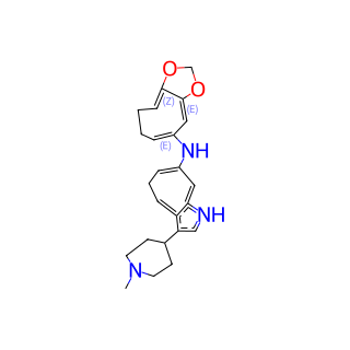 CN1CCC(c2c[nH]c3c2=CCC=C(NC2=C\CC\C=C4/OCO/C4=C/2)C=3)CC1